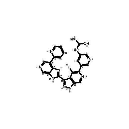 CCCCC(O)Nc1cncc(-c2ncc3[nH]nc(-c4nc5c(-c6ccccn6)cncc5[nH]4)c3c2F)c1